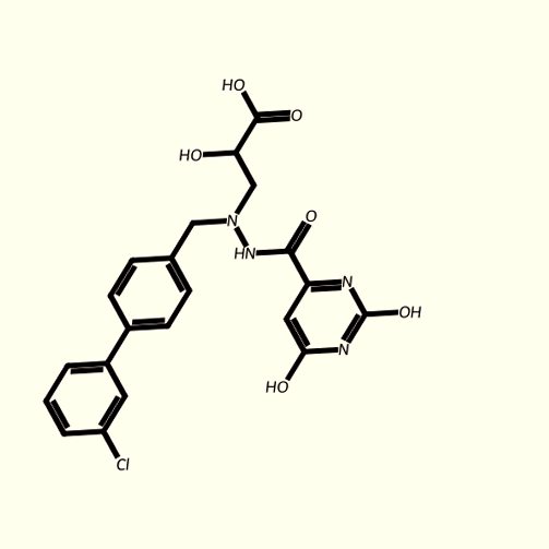 O=C(NN(Cc1ccc(-c2cccc(Cl)c2)cc1)CC(O)C(=O)O)c1cc(O)nc(O)n1